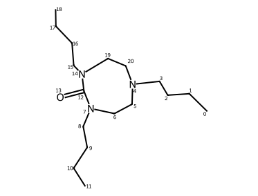 CCCCN1CCN(CCCC)C(=O)N(CCCC)CC1